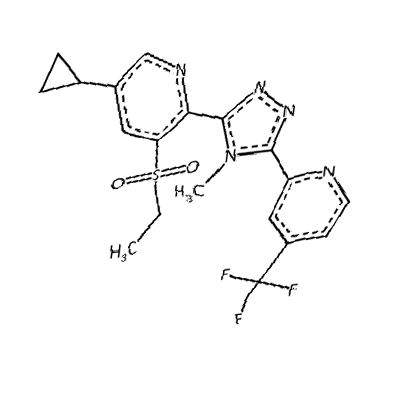 CCS(=O)(=O)c1cc(C2CC2)cnc1-c1nnc(-c2cc(C(F)(F)F)ccn2)n1C